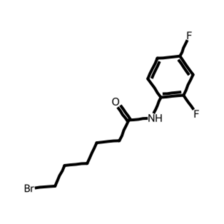 O=C(CCCCCBr)Nc1ccc(F)cc1F